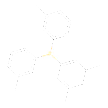 CC1=CC(P(c2cccc(C)c2)c2cccc(C)c2)=CC(C)C1